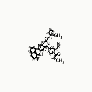 C[C@H](F)C(=O)N1CCN(c2nc(OC[C@@H]3CCCN3C)nc3nc(-c4cccc5ccc(F)c(Cl)c45)ccc23)C[C@@H]1CC#N